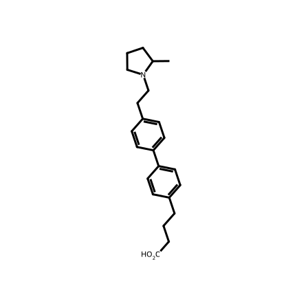 CC1CCCN1CCc1ccc(-c2ccc(CCCC(=O)O)cc2)cc1